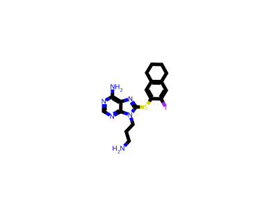 NCCCn1c(Sc2cc3c(cc2I)CCCC3)nc2c(N)ncnc21